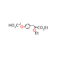 CCOC(=O)[C@H](Cc1ccc(OC(C)C(=O)O)cc1)OCC